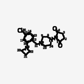 O=C1CCC(=O)N1N1CCN(Cc2ccc(Cl)cc2N2CCC2)CC1